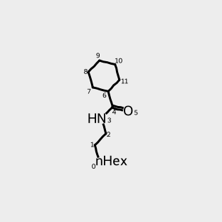 CCCCCCCCNC(=O)C1CCCCC1